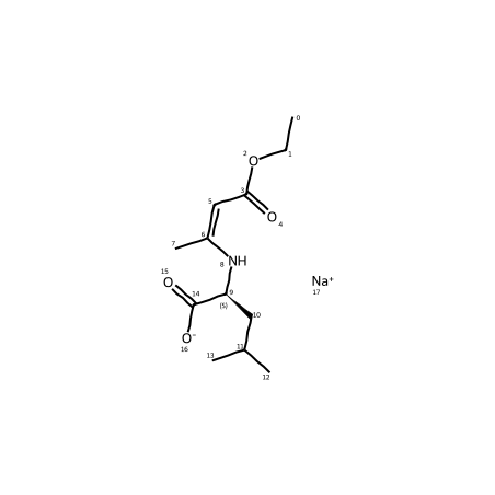 CCOC(=O)C=C(C)N[C@@H](CC(C)C)C(=O)[O-].[Na+]